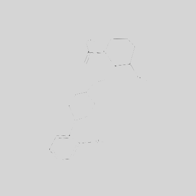 COC(=O)N1CCCC(N)[C@@H]1COC1CCN(c2ccccc2OC)CC1